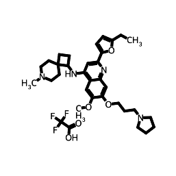 CCc1ccc(-c2cc(NC3CCC34CCN(C)CC4)c3cc(OC)c(OCCCN4CCCC4)cc3n2)o1.O=C(O)C(F)(F)F